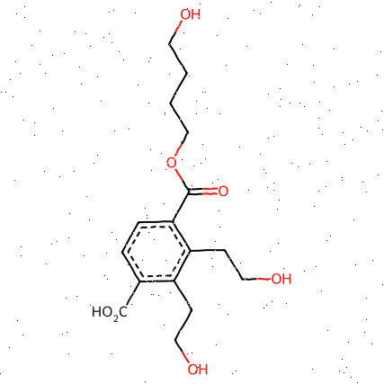 O=C(O)c1ccc(C(=O)OCCCCO)c(CCO)c1CCO